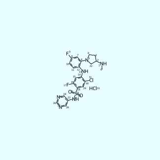 CNC1CCN(c2cc(F)ccc2Nc2cc(F)c(S(=O)(=O)Nc3cncnc3)cc2Cl)C1.Cl